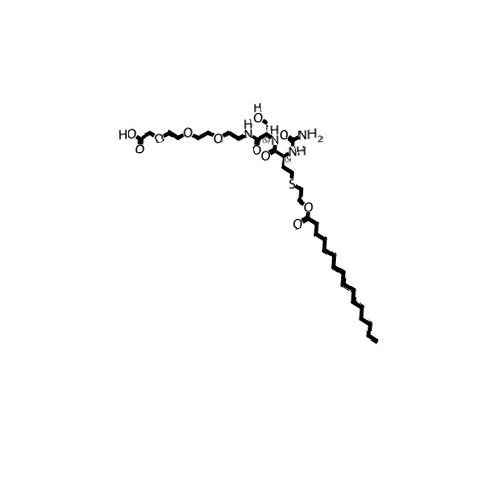 CCCCCCCCCCCCCCCC(=O)OCCSCC[C@H](NC(N)=O)C(=O)N[C@@H](CO)C(=O)NCCOCCOCCOCC(=O)O